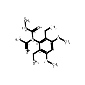 CCc1c(OC)cc(OC)c(CC)c1N(C(=N)N)C(=O)NC